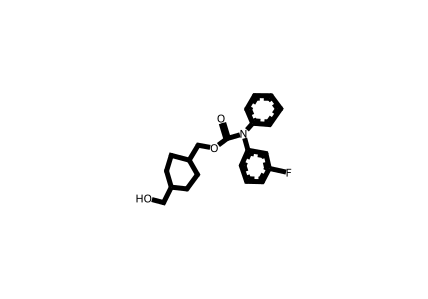 O=C(OCC1CCC(CO)CC1)N(c1ccccc1)c1cccc(F)c1